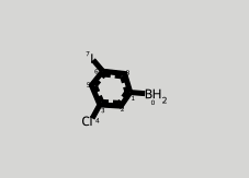 Bc1cc(Cl)cc(I)c1